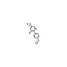 Fc1cc(C(F)(F)F)cnc1-c1ccc(CCl)cc1